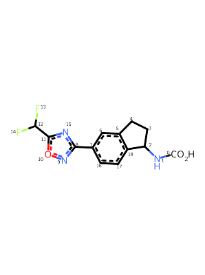 O=C(O)NC1CCc2cc(-c3noc(C(F)F)n3)ccc21